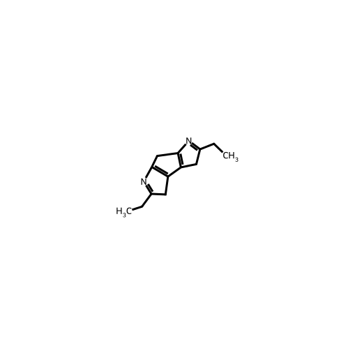 CCC1=NC2=C(C1)C1=C(C2)N=C(CC)C1